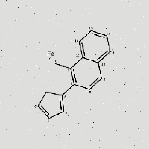 Cc1c(C2=CC=CC2)ccc2ccccc12.[Fe]